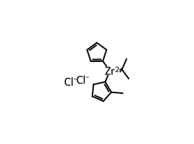 CC1=[C]([Zr+2]([C]2=CC=CC2)=[C](C)C)CC=C1.[Cl-].[Cl-]